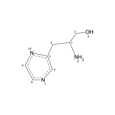 NC(CO)Cc1cnccn1